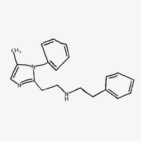 Cc1cnc(CCNCCc2ccccc2)n1-c1ccccc1